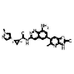 Cc1nc2[nH]c(=O)oc2cc1-c1cc(N)c2nnc(NC(=O)[C@H]3C[C@@H]3c3cnn(C)c3)cc2c1